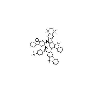 CC(C)(C)c1ccc(N2B3c4cc5c(cc4-n4c6cc7c(cc6c6c8c(c(c3c64)-c3cc4c(cc32)C(C)(C)c2ccccc2-4)-c2ccccc2C8(C)C)C(C)(C)CCC7(C)C)oc2ccccc25)cc1